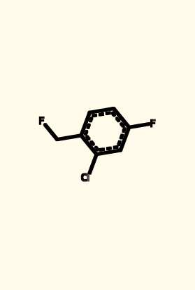 FCc1ccc(F)cc1Cl